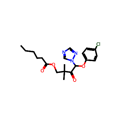 CCCCCC(=O)OCC(C)(C)C(=O)C(Oc1ccc(Cl)cc1)n1cncn1